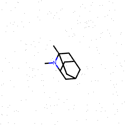 CN1C2CC3CC(C2)CC1(C)C3